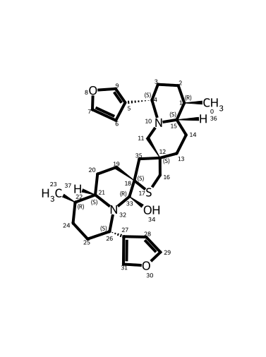 C[C@@H]1CC[C@@H](c2ccoc2)N2C[C@@]3(CC[C@@H]12)CS[C@@]1(CC[C@H]2[C@H](C)CC[C@@H](c4ccoc4)N2[C@@H]1O)C3